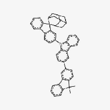 CC1(C)c2ccccc2-c2cc(-c3ccc4c(c3)c3ccccc3n4-c3ccc4c(c3)C3(c5ccccc5-4)C4CC5CC(C4)CC3C5)ccc21